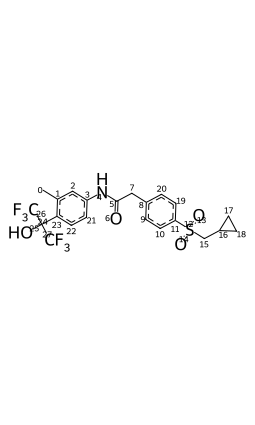 Cc1cc(NC(=O)Cc2ccc(S(=O)(=O)CC3CC3)cc2)ccc1C(O)(C(F)(F)F)C(F)(F)F